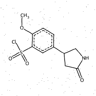 COc1ccc(C2CNC(=O)C2)cc1S(=O)(=O)Cl